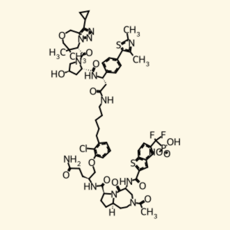 CC(=O)N1CC[C@H]2CC[C@@H](C(=O)N[C@@H](CCC(N)=O)COc3cccc(CCCCCNC(=O)C[C@H](NC(=O)[C@@H]4C[C@@H](O)CN4C(=O)[C@H]4n5nnc(C6CC6)c5COCC4(C)C)c4ccc(-c5sc(C)nc5C)cc4)c3Cl)N2C(=O)[C@@H](NC(=O)c2cc3cc(C(F)(F)P(=O)(O)O)ccc3s2)C1